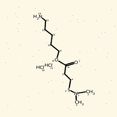 CN(C)SCCC(=O)OCCCCCN.Cl.Cl